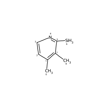 Cc1ccnc([SiH3])c1C